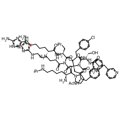 CC(=O)N[C@H](Cc1ccc2ccccc2c1)C(=O)C[C@](C(=O)[C@H](N)Cc1ccc(Cl)cc1)(C(=O)N(C(=O)[C@H](CC(C)C)NC(=O)[C@H](N)CCCCNc1n[nH]c(N)n1)C(=O)[C@@H](N)CCCCNc1n[nH]c(N)n1)N(C(=O)[C@H](CO)NC(=O)[C@H](N)Cc1cccnc1)C(=O)[C@@H]1CCCN1C(=O)[C@@H](N)CCCCNC(C)C